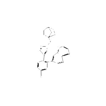 Cc1ccc(-c2cnn(CC34CCC(CC3)C4)c2)c(-c2ccc3cccnc3c2)n1